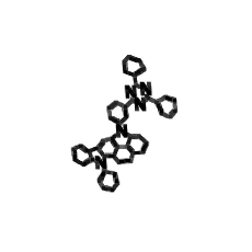 c1ccc(-c2nc(-c3ccccc3)nc(-c3cccc(-n4c5cccc6ccc7c(c65)c4cc4c5ccccc5n(-c5ccccc5)c47)c3)n2)cc1